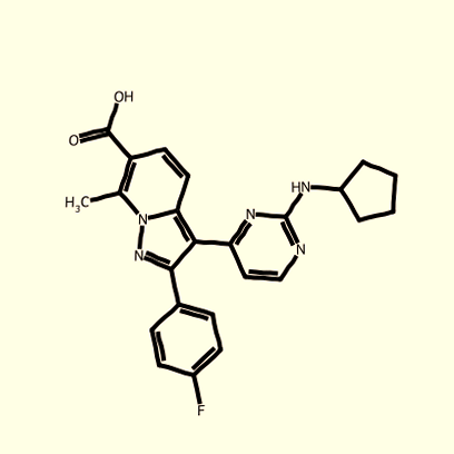 Cc1c(C(=O)O)ccc2c(-c3ccnc(NC4CCCC4)n3)c(-c3ccc(F)cc3)nn12